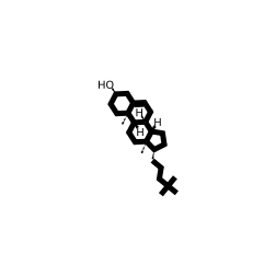 CC(C)(C)CCC[C@H]1CC[C@H]2[C@@H]3CC=C4C[C@@H](O)CC[C@]4(C)[C@H]3CC[C@]12C